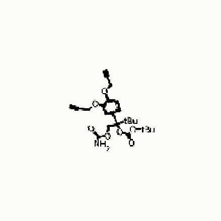 C#CCOc1ccc(C(COC(N)=O)(OC(=O)OC(C)(C)C)C(C)(C)C)cc1OCC#C